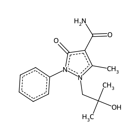 Cc1c(C(N)=O)c(=O)n(-c2ccccc2)n1CC(C)(C)O